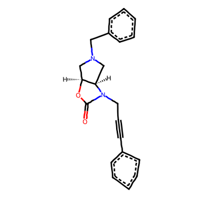 O=C1O[C@H]2CN(Cc3ccccc3)C[C@H]2N1CC#Cc1ccccc1